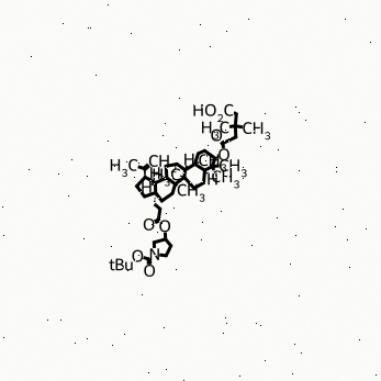 C=C(C)[C@@H]1CC[C@]2(CCC(=O)OC3CCN(C(=O)OC(C)(C)C)C3)CC[C@]3(C)[C@H](CC[C@@H]4[C@@]5(C)CC[C@H](OC(=O)CC(C)(C)CC(=O)O)C(C)(C)[C@@H]5CC[C@]43C)[C@@H]12